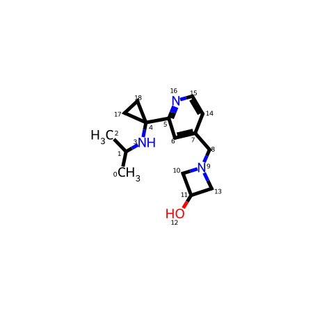 CC(C)NC1(c2cc(CN3CC(O)C3)ccn2)CC1